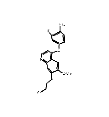 COc1cc2c(Oc3ccc(N)c(F)c3)ccnc2cc1CCCCl